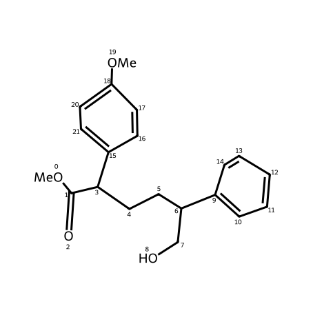 COC(=O)C(CCC(CO)c1ccccc1)c1ccc(OC)cc1